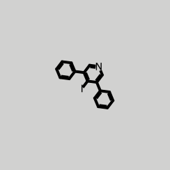 Ic1c(-c2ccccc2)cncc1-c1ccccc1